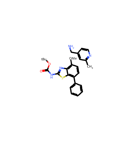 COc1ccc(-c2ccccc2)c2sc(NC(=O)OC(C)(C)C)nc12.Cc1cc(CN)ccn1